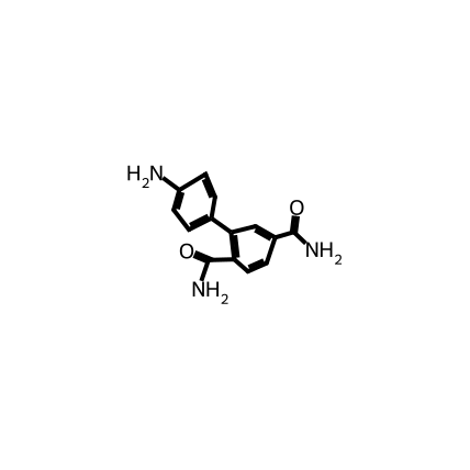 NC(=O)c1ccc(C(N)=O)c(-c2ccc(N)cc2)c1